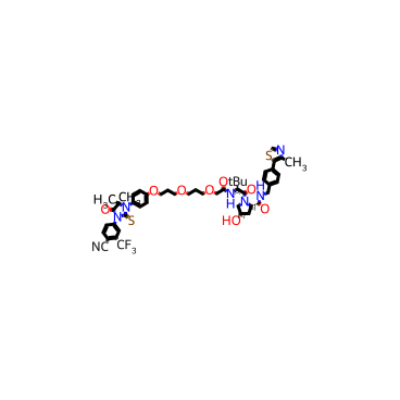 Cc1ncsc1-c1ccc(CNC(=O)[C@@H]2C[C@@H](O)CN2C(=O)[C@@H](NC(=O)COCCCOCCCOc2ccc(N3C(=S)N(c4ccc(C#N)c(C(F)(F)F)c4)C(=O)C3(C)C)cc2)C(C)(C)C)cc1